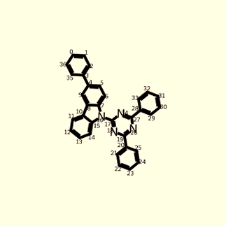 c1ccc(-c2ccc3c(c2)c2ccccc2n3-c2nc(-c3ccccc3)nc(-c3ccccc3)n2)cc1